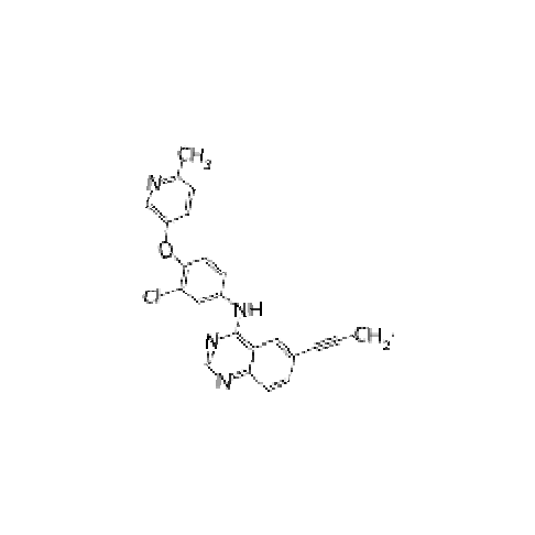 [CH2]C#Cc1ccc2ncnc(Nc3ccc(Oc4ccc(C)nc4)c(Cl)c3)c2c1